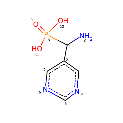 NC(c1cncnc1)P(=O)(O)O